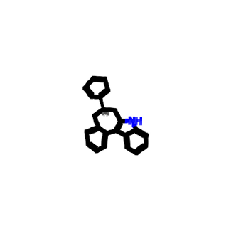 c1ccc([C@@H]2Cc3ccccc3-c3c([nH]c4ccccc34)C2)cc1